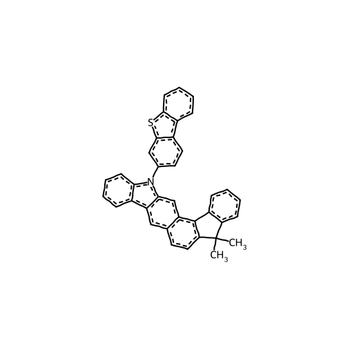 CC1(C)c2ccccc2-c2c1ccc1cc3c4ccccc4n(-c4ccc5c(c4)sc4ccccc45)c3cc21